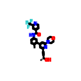 Cc1ccc(NC(=O)c2ccnc(C(F)(F)F)c2)cc1-c1cc(C#C[C@@H](C)O)nc(N2CCOCC2)c1